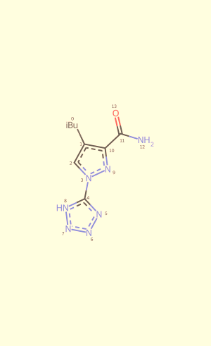 CCC(C)c1cn(-c2nnn[nH]2)nc1C(N)=O